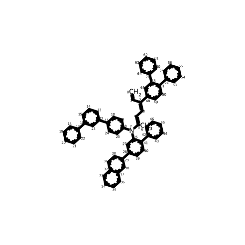 C=C/C(=C\C=C(/C)N(c1ccc(-c2cccc(-c3ccccc3)c2)cc1)c1cc(-c2ccc3ccccc3c2)ccc1-c1ccccc1)c1ccc(-c2ccccc2)c(-c2ccccc2)c1